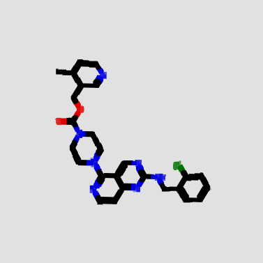 CC1C=CN=CC1COC(=O)N1CCN(c2nccc3nc(NCc4ccccc4Cl)ncc23)CC1